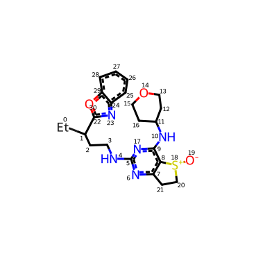 CCC(CCNc1nc2c(c(NC3CCOCC3)n1)[S+]([O-])CC2)c1nc2ccccc2o1